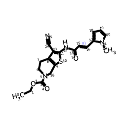 CCOC(=O)N1CCc2c(sc(NC(=O)/C=C/c3cccn3C)c2C#N)C1